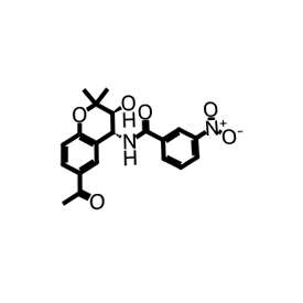 CC(=O)c1ccc2c(c1)[C@@H](NC(=O)c1cccc([N+](=O)[O-])c1)[C@H](O)C(C)(C)O2